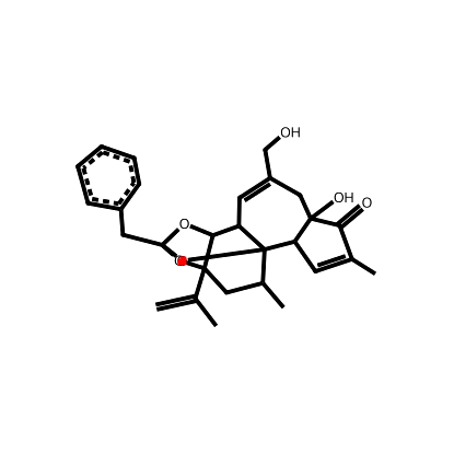 C=C(C)C12CC(C)C34OC(Cc5ccccc5)(OC1C3C=C(CO)CC1(O)C(=O)C(C)=CC14)O2